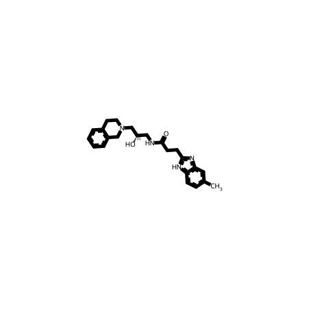 Cc1ccc2[nH]c(CCC(=O)NC[C@H](O)CN3CCc4ccccc4C3)nc2c1